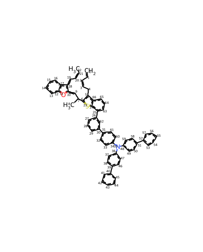 C=C/C=C\Cc1c(C(C)\C=c2/oc3ccccc3/c2=C/C=C\C)sc2c(-c3cccc(-c4ccc(N(c5ccc(-c6ccccc6)cc5)c5ccc(-c6ccccc6)cc5)cc4)c3)cccc12